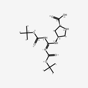 CC(C)(C)OC(=O)/N=C(/NC(=O)OC(C)(C)C)N[C@@H]1CN[C@H](C(=O)O)C1